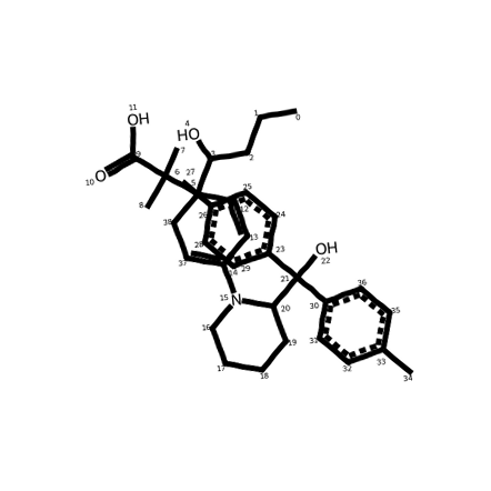 CCCC(O)C1(C(C)(C)C(=O)O)C=CC(N2CCCCC2C(O)(c2ccc(C)cc2)c2ccc(C)cc2)=CC1